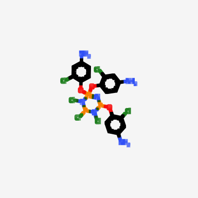 Nc1ccc(OP2N=P(Oc3ccc(N)cc3Cl)(Oc3ccc(N)cc3Cl)N(Cl)P(Cl)N2Cl)c(Cl)c1